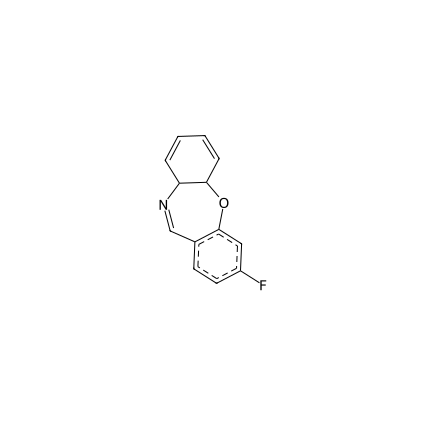 Fc1ccc2c(c1)OC1C=CC=CC1N=C2